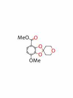 COC(=O)c1ccc(OC)c2c1OC1(CCOCC1)O2